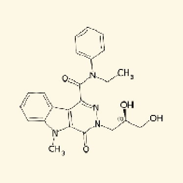 CCN(C(=O)c1nn(C[C@@H](O)CO)c(=O)c2c1c1ccccc1n2C)c1ccccc1